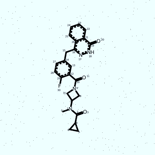 CN(C(=O)C1CC1)C1CN(C(=O)c2cc(Cc3n[nH]c(=O)c4ccccc34)ccc2F)C1